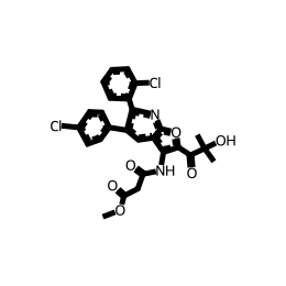 COC(=O)CC(=O)Nc1c(C(=O)C(C)(C)O)oc2nc(-c3ccccc3Cl)c(-c3ccc(Cl)cc3)cc12